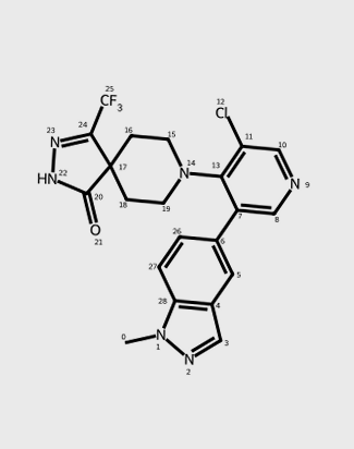 Cn1ncc2cc(-c3cncc(Cl)c3N3CCC4(CC3)C(=O)NN=C4C(F)(F)F)ccc21